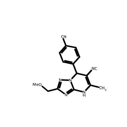 [C-]#[N+]C1=C(C)Nc2nc(COC)nn2C1c1ccc(C#N)cc1